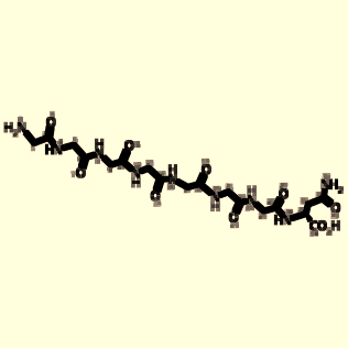 NCC(=O)NCC(=O)NCC(=O)NCC(=O)NCC(=O)NCC(=O)NCC(=O)N[C@@H](CC(N)=O)C(=O)O